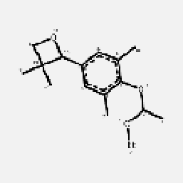 CCOC(C)Oc1c(C)cc(C2OCC2(C)C)cc1C